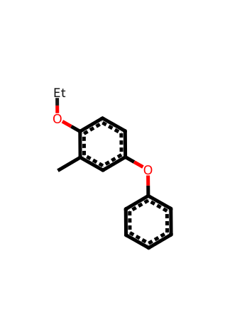 CCOc1ccc(Oc2ccccc2)cc1C